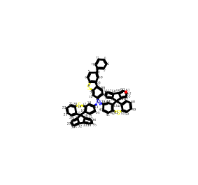 c1ccc(-c2ccc3sc4cc(N(c5ccc6c(c5)Sc5ccccc5C65c6ccccc6-c6ccccc65)c5ccc6c(c5)C5(c7ccccc7S6)c6ccccc6-c6ccccc65)ccc4c3c2)cc1